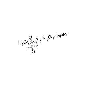 CCCOCCOCCCCC1CC(=O)CC(C)C1=O